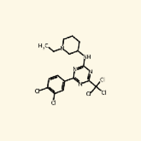 CCN1CCCC(Nc2nc(-c3ccc(Cl)c(Cl)c3)nc(C(Cl)(Cl)Cl)n2)C1